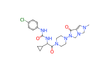 CN1C=C2C(=O)N(N3CCN(C(=O)C(NC(=O)Nc4ccc(Cl)cc4)C4CC4)CC3)CN2C1